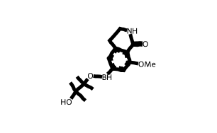 COc1cc(BOC(C)(C)C(C)(C)O)cc2c1C(=O)NCC2